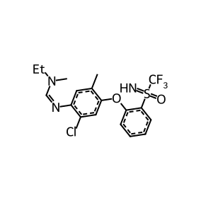 CCN(C)/C=N\c1cc(C)c(Oc2ccccc2S(=N)(=O)C(F)(F)F)cc1Cl